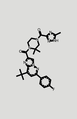 Cc1nc(C(=O)N2CCN(C(=O)c3cn4nc(-c5ccc(F)cc5)cc(C(C)(C)C)c4n3)C(C)(C)C2)n[nH]1